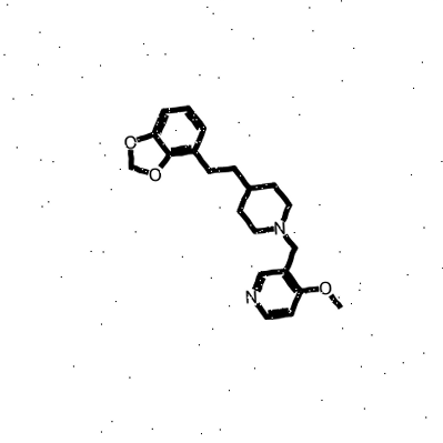 COc1ccncc1CN1CCC(CCc2cccc3c2OCO3)CC1